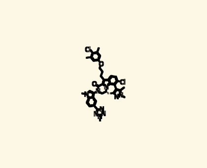 Cc1cc(OCCCc2c3n(c4c(-c5c(C)nn(C)c5C)c(Cl)ccc24)[C@H](C)CN(c2cn(C)c4ccc(-c5nnn(C)n5)cc24)C3=O)cc(C)c1Cl